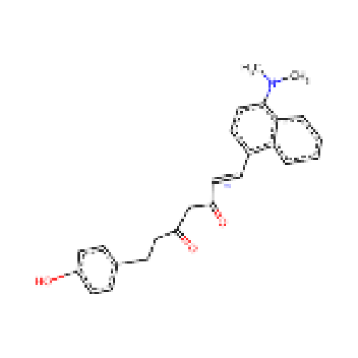 CN(C)c1ccc(/C=C/C(=O)CC(=O)CCc2ccc(O)cc2)c2ccccc12